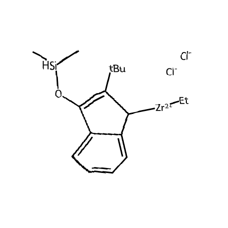 C[CH2][Zr+2][CH]1C(C(C)(C)C)=C(O[SiH](C)C)c2ccccc21.[Cl-].[Cl-]